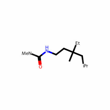 CCC(C)(CCNC(=O)NC)CC(C)C